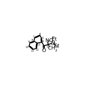 [CH2]C(C(=O)c1cccc2ccccc12)(N(CC)CC)[N+](=O)[O-]